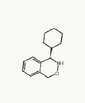 c1ccc2c(c1)CON[C@@H]2C1CCCCC1